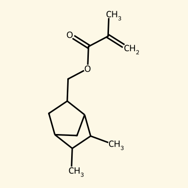 C=C(C)C(=O)OCC1CC2CC1C(C)C2C